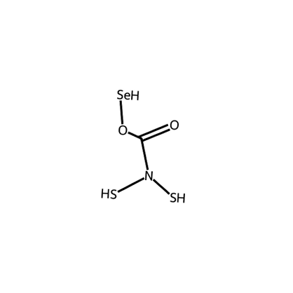 O=C(O[SeH])N(S)S